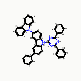 c1ccc(-c2ccc3c(c2)c2cc(-n4c5ccccc5c5ccccc54)ccc2n3-c2nc(-c3ccccc3)nc(-c3ccccc3)n2)cc1